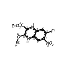 CCOC(=O)c1nc2cc(F)c([N+](=O)[O-])cc2nc1OCC